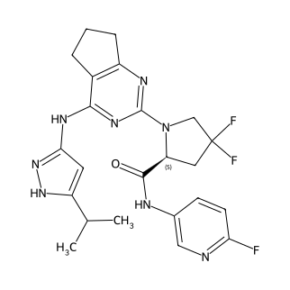 CC(C)c1cc(Nc2nc(N3CC(F)(F)C[C@H]3C(=O)Nc3ccc(F)nc3)nc3c2CCC3)n[nH]1